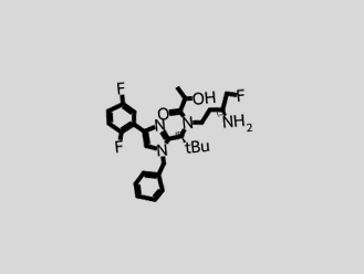 CC(O)C(=O)N(CC[C@H](N)CF)[C@@H](c1nc(-c2cc(F)ccc2F)cn1Cc1ccccc1)C(C)(C)C